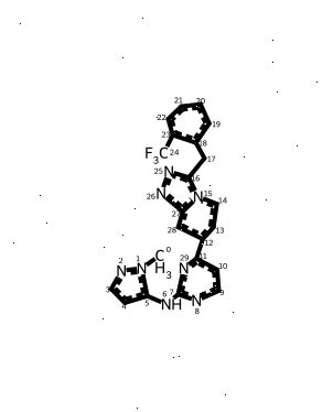 Cn1nccc1Nc1nccc(-c2ccn3c(Cc4ccccc4C(F)(F)F)nnc3c2)n1